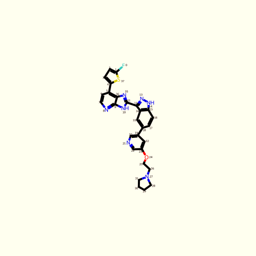 Fc1ccc(-c2ccnc3[nH]c(-c4n[nH]c5ccc(-c6cncc(OCCN7CCCC7)c6)cc45)nc23)s1